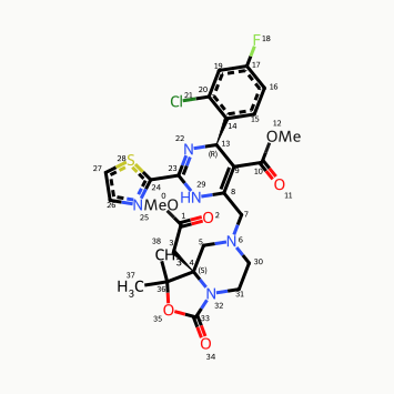 COC(=O)C[C@@]12CN(CC3=C(C(=O)OC)[C@H](c4ccc(F)cc4Cl)N=C(c4nccs4)N3)CCN1C(=O)OC2(C)C